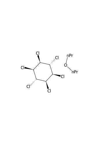 CCCOCCC.Cl[C@H]1[C@H](Cl)[C@@H](Cl)[C@@H](Cl)[C@H](Cl)[C@H]1Cl